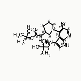 CC(C)(O)CNc1c[nH]c2ncc(Br)c(N3CCCC(NC(=O)OC(C)(C)C)C3)c12